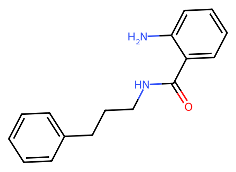 Nc1ccccc1C(=O)NCCCc1ccccc1